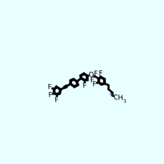 C/C=C/CCc1cc(F)c(C(F)(F)Oc2ccc(-c3ccc(C#Cc4cc(F)c(F)c(F)c4)cc3)c(F)c2)c(F)c1